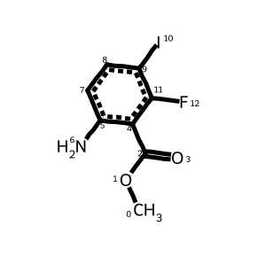 COC(=O)c1c(N)ccc(I)c1F